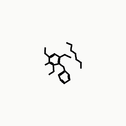 CCCCCCC.CCc1cc(CC)c(Cc2ccccc2)c(CC)c1C